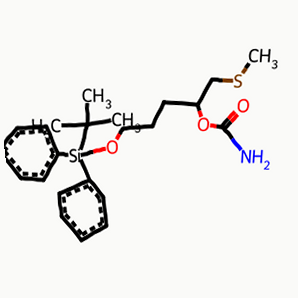 CSCC(CCCO[Si](c1ccccc1)(c1ccccc1)C(C)(C)C)OC(N)=O